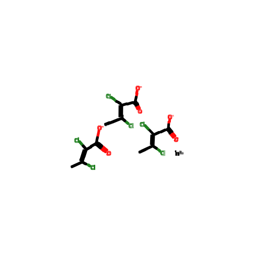 C/C(Cl)=C(\Cl)C(=O)[O-].C/C(Cl)=C(\Cl)C(=O)[O-].C/C(Cl)=C(\Cl)C(=O)[O-].[In+3]